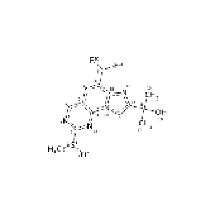 C[S+]([O-])c1ncc2cc(C(F)F)c3nc(C(C)(C)O)cn3c2n1